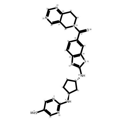 CSc1cnc(N[C@H]2CC[C@H](Nc3nc4ccc(C(=O)N5CCc6ncncc6C5)cc4s3)C2)nc1